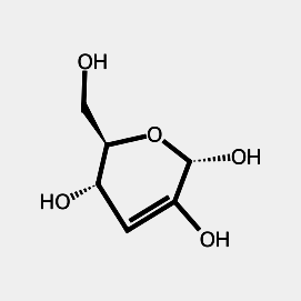 OC[C@H]1O[C@H](O)C(O)=C[C@@H]1O